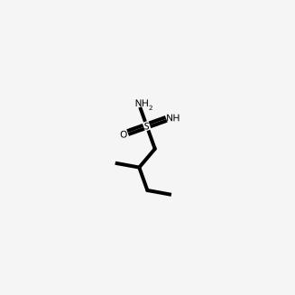 CCC(C)CS(=N)(N)=O